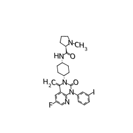 C=C1c2cc(F)cnc2N(c2cccc(I)c2)C(=O)N1[C@H]1CC[C@@H](NC(=O)[C@H]2CCCN2C)CC1